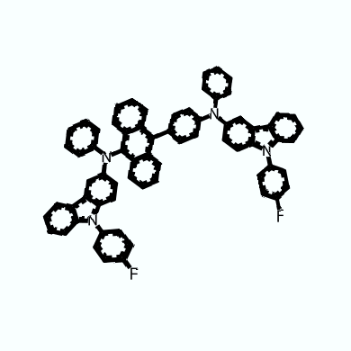 Fc1ccc(-n2c3ccccc3c3cc(N(c4ccccc4)c4ccc(-c5c6ccccc6c(N(c6ccccc6)c6ccc7c(c6)c6ccccc6n7-c6ccc(F)cc6)c6ccccc56)cc4)ccc32)cc1